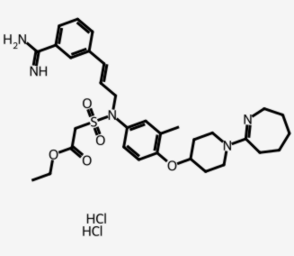 CCOC(=O)CS(=O)(=O)N(C/C=C/c1cccc(C(=N)N)c1)c1ccc(OC2CCN(C3=NCCCCC3)CC2)c(C)c1.Cl.Cl